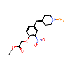 COC(=O)COc1ccc(C=C2CCN(P)CC2)cc1[N+](=O)[O-]